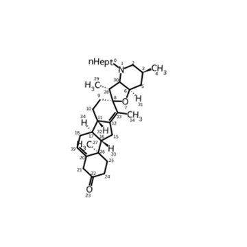 CCCCCCCN1C[C@@H](C)C[C@H]2O[C@]3(CC[C@@H]4C(=C3C)C[C@H]3[C@H]4CC=C4CC(=O)CC[C@@]43C)[C@H](C)C21